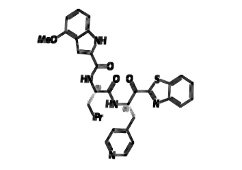 COc1cccc2[nH]c(C(=O)N[C@@H](CC(C)C)C(=O)N[C@@H](Cc3ccncc3)C(=O)c3nc4ccccc4s3)cc12